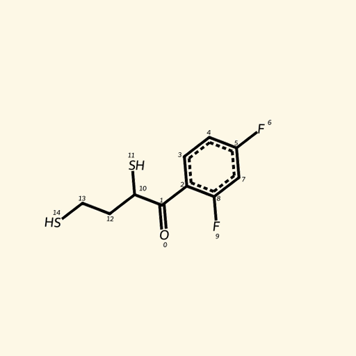 O=C(c1ccc(F)cc1F)C(S)CCS